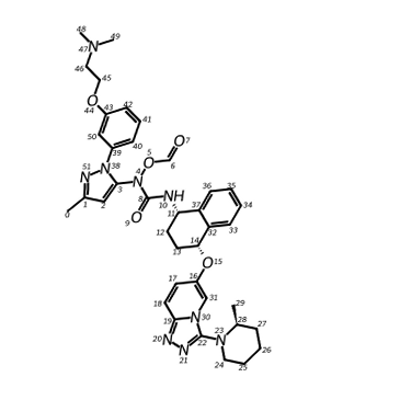 Cc1cc(N(OC=O)C(=O)N[C@H]2CC[C@@H](Oc3ccc4nnc(N5CCCC[C@@H]5C)n4c3)c3ccccc32)n(-c2cccc(OCCN(C)C)c2)n1